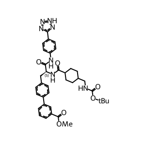 COC(=O)c1cccc(-c2ccc(C[C@H](NC(=O)C3CCC(CNC(=O)OC(C)(C)C)CC3)C(=O)Nc3ccc(-c4nn[nH]n4)cc3)cc2)c1